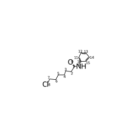 O=C(CCCCCCCl)Nc1ccccc1